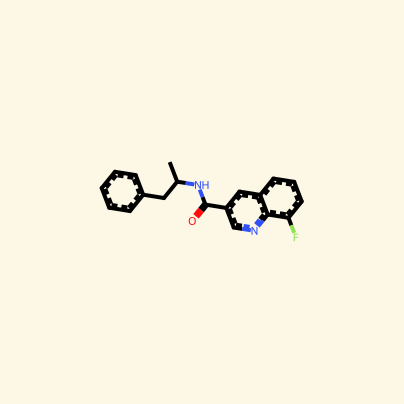 CC(Cc1ccccc1)NC(=O)c1cnc2c(F)cccc2c1